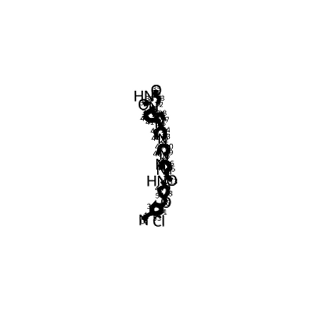 N#Cc1ccc(OC2CCC(NC(=O)c3ccc(N4CCC(N5CCC(n6ccc7c(N8CCC(=O)NC8=O)cccc76)CC5)CC4)nn3)CC2)cc1Cl